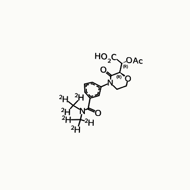 [2H]C([2H])([2H])N(C(=O)c1cccc(N2CCO[C@H]([C@@H](OC(C)=O)C(=O)O)C2=O)c1)C([2H])([2H])[2H]